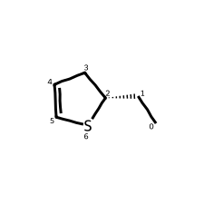 CC[C@H]1CC=CS1